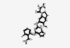 CNC(=O)c1c(F)cccc1Nc1nc(Nc2cc3c(cc2OC)CCN3C(=O)[C@@H](C)N(C)C)[nH]c2nccc1-2